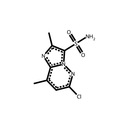 Cc1nc2c(C)cc(Cl)nn2c1S(N)(=O)=O